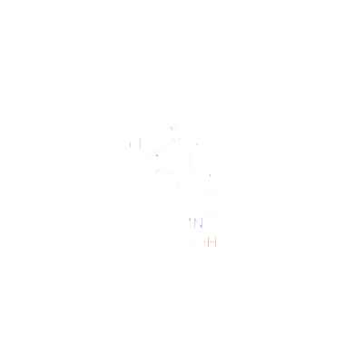 CC(C)(C=NO)Cc1ccc(Cl)c(Cl)c1